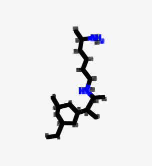 CCC1CC(C)CC(C(C)C(C)NCCCCC(C)N)C1